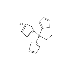 CC[Si](C1=CC=CC1)(C1=CC=CC1)C1=CC=CC1.[LiH]